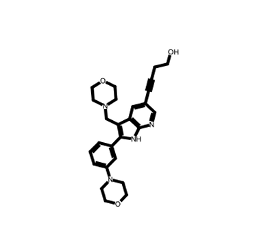 OCCC#Cc1cnc2[nH]c(-c3cccc(N4CCOCC4)c3)c(CN3CCOCC3)c2c1